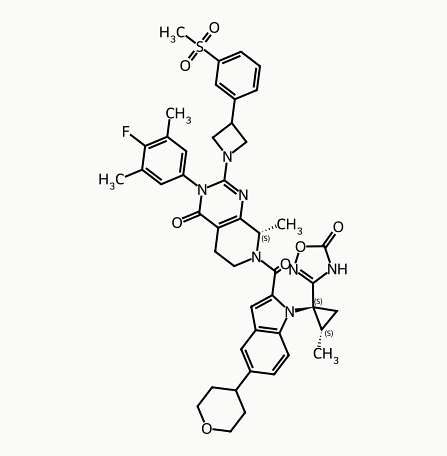 Cc1cc(-n2c(N3CC(c4cccc(S(C)(=O)=O)c4)C3)nc3c(c2=O)CCN(C(=O)c2cc4cc(C5CCOCC5)ccc4n2[C@@]2(c4noc(=O)[nH]4)C[C@@H]2C)[C@H]3C)cc(C)c1F